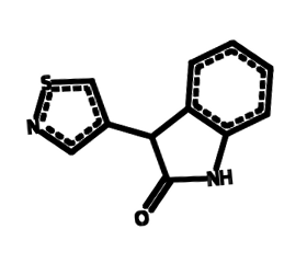 O=C1Nc2ccccc2C1c1cnsc1